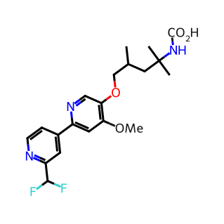 COc1cc(-c2ccnc(C(F)F)c2)ncc1OCC(C)CC(C)(C)NC(=O)O